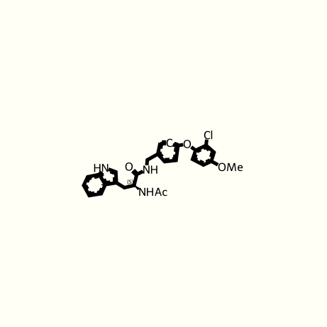 COc1ccc(Oc2ccc(CNC(=O)[C@H](Cc3c[nH]c4ccccc34)NC(C)=O)cc2)c(Cl)c1